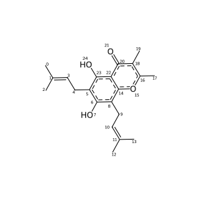 CC(C)=CCc1c(O)c(CC=C(C)C)c2oc(C)c(C)c(=O)c2c1O